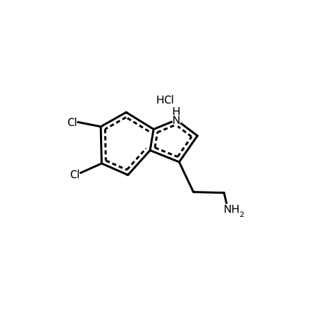 Cl.NCCc1c[nH]c2cc(Cl)c(Cl)cc12